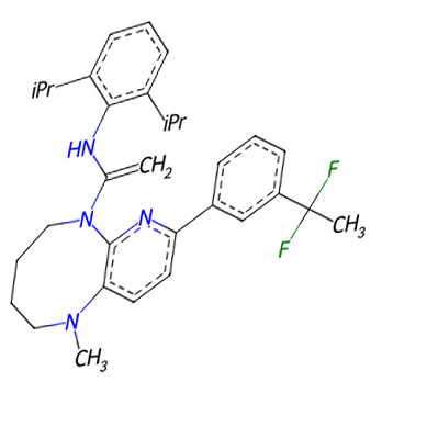 C=C(Nc1c(C(C)C)cccc1C(C)C)N1CCCCN(C)c2ccc(-c3cccc(C(C)(F)F)c3)nc21